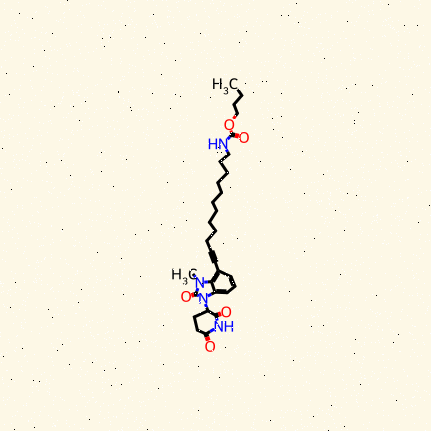 CCCCOC(=O)NCCCCCCCCCCC#Cc1cccc2c1n(C)c(=O)n2C1CCC(=O)NC1=O